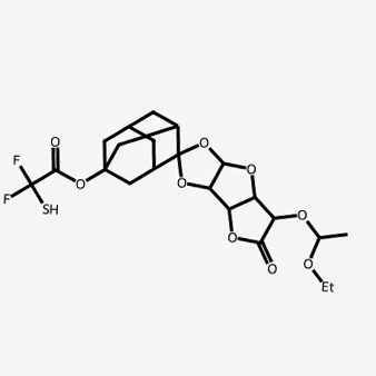 CCOC(C)OC1C(=O)OC2C3OC4(OC3OC12)C1CC2CC4CC(OC(=O)C(F)(F)S)(C2)C1